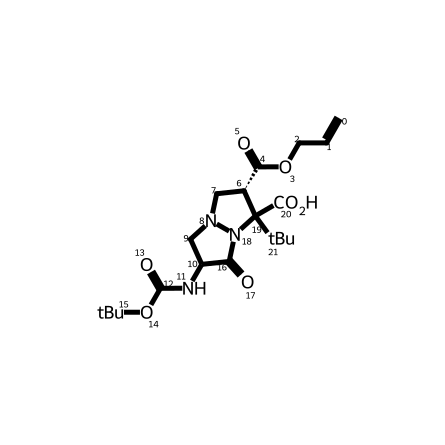 C=CCOC(=O)[C@H]1CN2CC(NC(=O)OC(C)(C)C)C(=O)N2C1(C(=O)O)C(C)(C)C